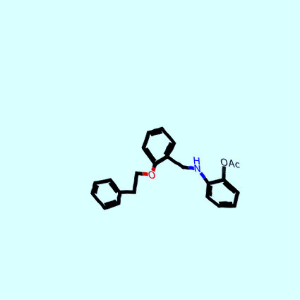 CC(=O)Oc1ccccc1NCc1ccccc1OCCc1ccccc1